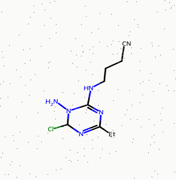 CCC1=NC(Cl)N(N)C(NCCCC#N)=N1